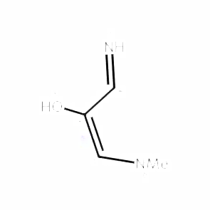 CN/C=C(/O)C=N